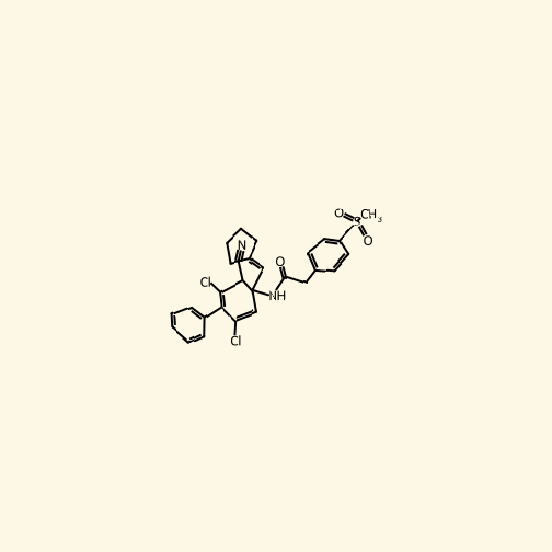 CS(=O)(=O)c1ccc(CC(=O)NC2(C=C3CCCC3)C=C(Cl)C(c3ccccc3)=C(Cl)C2C#N)cc1